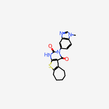 Cn1cnc2cc(-n3c(=O)[nH]c4sc5c(c4c3=O)CCCCC5)ccc21